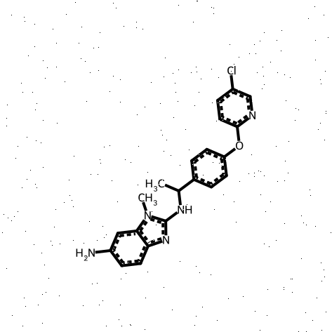 CC(Nc1nc2ccc(N)cc2n1C)c1ccc(Oc2ccc(Cl)cn2)cc1